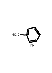 O=C(O)c1c[c]ccc1.[KH]